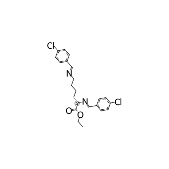 CCOC(=O)[C@H](CCCCN=Cc1ccc(Cl)cc1)N=Cc1ccc(Cl)cc1